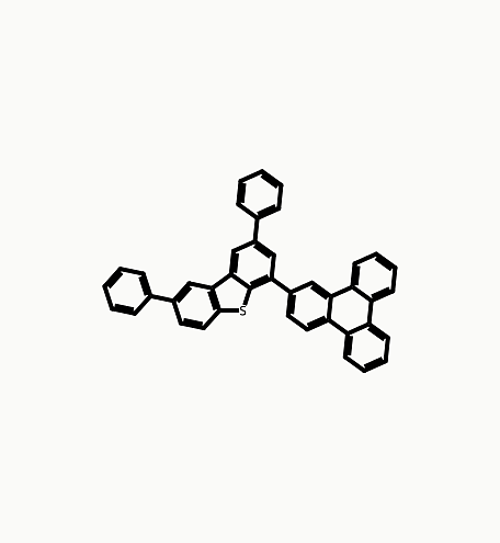 c1ccc(-c2ccc3sc4c(-c5ccc6c7ccccc7c7ccccc7c6c5)cc(-c5ccccc5)cc4c3c2)cc1